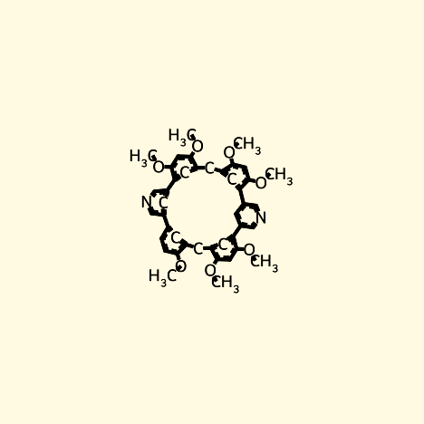 COc1ccc2cc1Cc1cc(c(OC)cc1OC)-c1cncc(c1)-c1cc(c(OC)cc1OC)Cc1cc(c(OC)cc1OC)-c1cncc-2c1